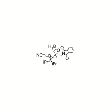 B[C@H]1C[C@H](OP(OCCC#N)N(C(C)C)C(C)C)[C@@H](CN2C(=O)c3ccccc3C2=O)O1